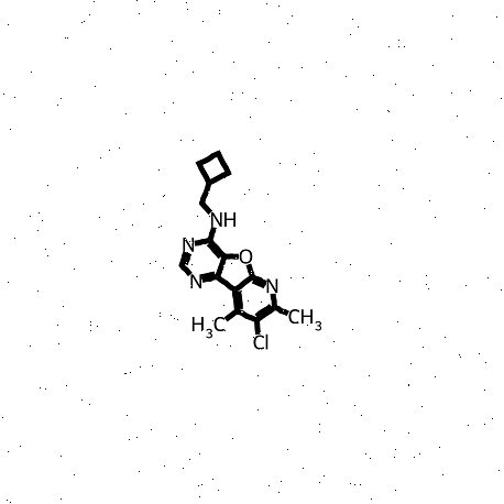 Cc1nc2oc3c(NCC4CCC4)ncnc3c2c(C)c1Cl